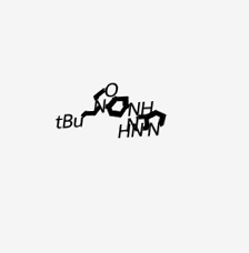 CC(C)(C)CCN1CCOc2cc(Nc3n[nH]c4ncccc34)ccc21